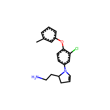 Cc1cccc(Oc2ccc(N3C=CCC3CCN)cc2Cl)c1